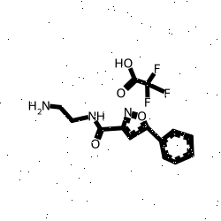 NCCNC(=O)c1cc(-c2ccccc2)on1.O=C(O)C(F)(F)F